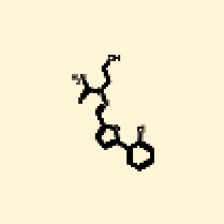 NC(=S)N(CCO)N=Cc1ccc(-c2ccccc2Cl)o1